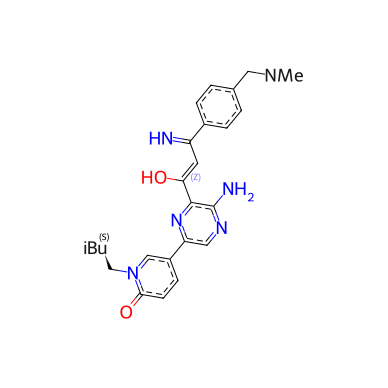 CC[C@H](C)Cn1cc(-c2cnc(N)c(/C(O)=C/C(=N)c3ccc(CNC)cc3)n2)ccc1=O